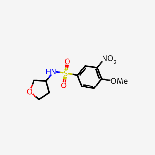 COc1ccc(S(=O)(=O)NC2CCOC2)cc1[N+](=O)[O-]